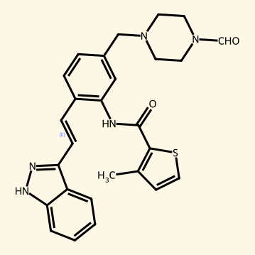 Cc1ccsc1C(=O)Nc1cc(CN2CCN(C=O)CC2)ccc1/C=C/c1n[nH]c2ccccc12